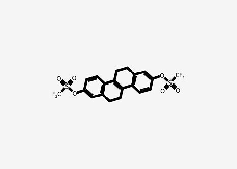 O=S(=O)(Oc1ccc2c(c1)CCC1=C2CCc2cc(OS(=O)(=O)C(F)(F)F)ccc21)C(F)(F)F